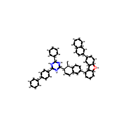 CC1c2ccc(-c3cccc4oc5ccc(-c6ccc7ccccc7c6)cc5c34)cc2C=CC1c1nc(-c2ccccc2)nc(-c2ccc(-c3ccccc3)cc2)n1